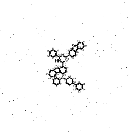 C1=CC(N(c2ccccc2)c2ccc(C3=NC(c4ccc5c(c4)sc4ccccc45)=NC(c4ccccc4)N3)c3oc4ccccc4c23)CC=C1c1ccccc1